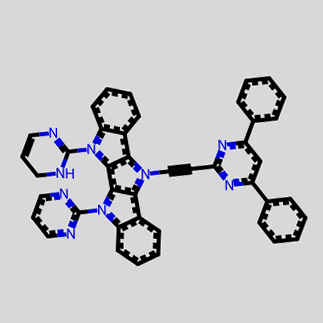 C(#Cn1c2c3ccccc3n(C3=NC=CCN3)c2c2c1c1ccccc1n2-c1ncccn1)c1nc(-c2ccccc2)cc(-c2ccccc2)n1